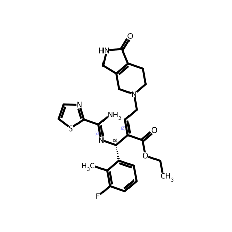 CCOC(=O)/C(=C\CN1CCC2=C(CNC2=O)C1)[C@@H](/N=C(\N)c1nccs1)c1cccc(F)c1C